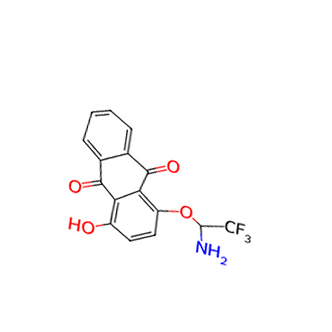 NC(Oc1ccc(O)c2c1C(=O)c1ccccc1C2=O)C(F)(F)F